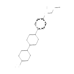 CCCC1CCC(C2CCC(c3ccc(OC[SiH2]C)cc3)CC2)CC1